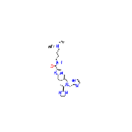 CCCN(CCC)CCCCNC(=O)c1cn2c(n1)CCC(CN(Cc1ncc[nH]1)C(C)c1ncc[nH]1)C2